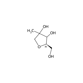 CC1(O)CO[C@H](CO)C1O